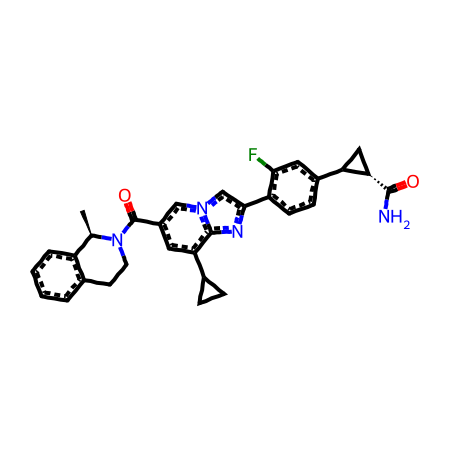 C[C@@H]1c2ccccc2CCN1C(=O)c1cc(C2CC2)c2nc(-c3ccc(C4C[C@@H]4C(N)=O)cc3F)cn2c1